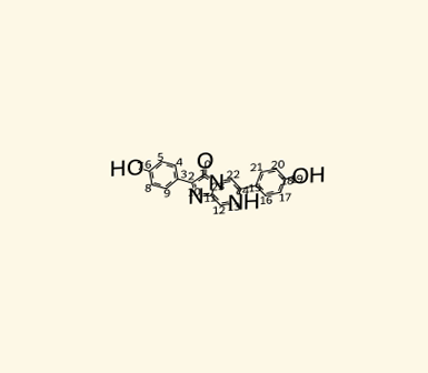 O=c1c(-c2ccc(O)cc2)nc2c[nH]c(-c3ccc(O)cc3)cn1-2